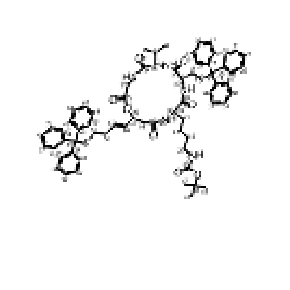 CC(C)[C@H]1NC(=O)[C@@H](CSC(c2ccccc2)(c2ccccc2)c2ccccc2)NC(=O)[C@@H](CCCCNC(=O)OC(C)(C)C)NC(=O)C[C@@H](C=CCCSC(c2ccccc2)(c2ccccc2)c2ccccc2)OC(=O)CNC1=O